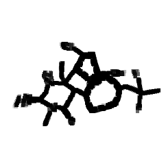 CN1C(=N)N[C@](C)(c2sc(Br)cc2Cl)C(c2ccc(C(C)(F)F)cc2)C1=O